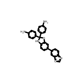 Nc1ccc(C2(c3ccc(N)cc3)Nc3ccc(-c4ccc5ncoc5c4)cc3O2)cc1